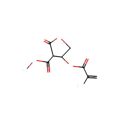 C=C(C)C(=O)OC1COC(=O)C1C(=O)OCCCC